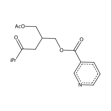 CC(=O)OCC(COC(=O)c1cccnc1)CC(=O)C(C)C